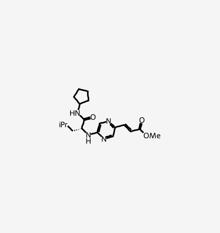 COC(=O)/C=C/c1cnc(N[C@H](CC(C)C)C(=O)NC2CCCC2)cn1